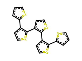 c1csc(-c2ccsc2-c2ccsc2-c2ccsc2-c2cccs2)c1